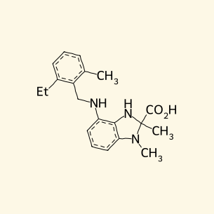 CCc1cccc(C)c1CNc1cccc2c1NC(C)(C(=O)O)N2C